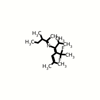 CCC(C)/C(C)=N/C(=C(\C=C(C)C)C(C)(F)F)C(C)C